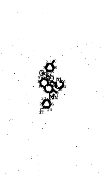 Cc1ccc(S(=O)(=O)[C@]2(C)CCC3Cc4c(cnn4-c4ccc(F)cc4)C[C@]3(C(=O)c3ccccn3)C2)cc1